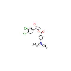 CN(C)c1ccc(C(=O)OC2=C(c3ccc(Cl)c(Cl)c3)C(=O)CC2)cc1